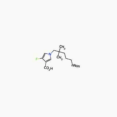 CCCCCCCCCCCCC(C)(C)Cn1cc(F)c(C(=O)O)c1